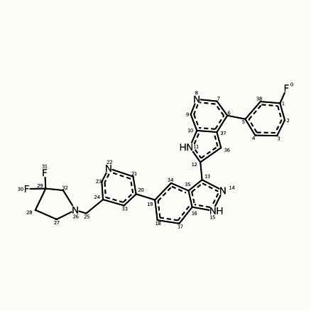 Fc1cccc(-c2cncc3[nH]c(-c4n[nH]c5ccc(-c6cncc(CN7CCC(F)(F)C7)c6)cc45)cc23)c1